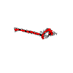 CCCN(CCC)C(=O)C1=Cc2ccc(-c3cccc(S(=O)(=O)NCCOCCOCCN/C(=N\c4cccc(C#N)c4)NCCOCCOCCOCCOCCOCCOCCOCCOCCOCCOCCC(=O)Oc4c(F)c(F)cc(F)c4F)c3)cc2N=C(N)C1